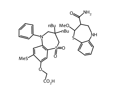 CCCCC1(CCCC)CN(c2ccccc2)c2cc(SC)c(OCC(=O)O)cc2S(=O)(=O)C1.COC1Sc2ccccc2NCC1C(N)=O